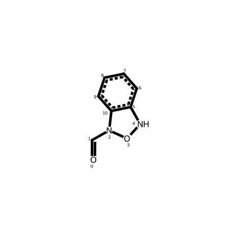 O=CN1ONc2[c]cccc21